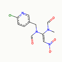 CN(C=O)C(=C[N+](=O)[O-])N(C=O)Cc1ccc(Cl)nc1